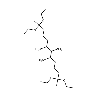 CCOC(C)(CCCC([SiH3])C(N)C([SiH3])CCCC(C)(OCC)OCC)OCC